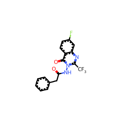 O=C(Cc1ccccc1)Nn1c(C(F)(F)F)nc2cc(F)ccc2c1=O